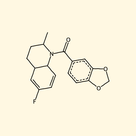 CC1CCC2C=C(F)C=CC2N1C(=O)c1ccc2c(c1)OCO2